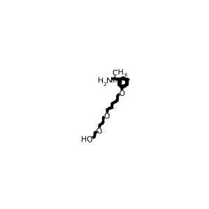 C[C@@H](N)c1cccc(OCCCCCOCCCOCCO)c1